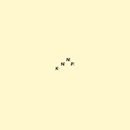 [K].[N].[N].[P]